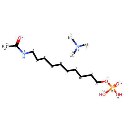 CCN(CC)CC.O=C(NCCCCCCCCCCOP(=O)(O)O)C(F)(F)F